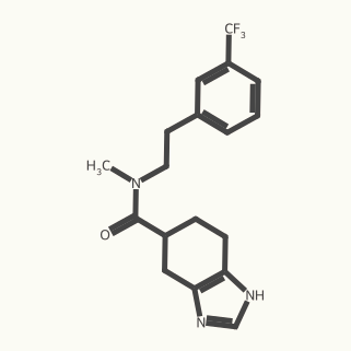 CN(CCc1cccc(C(F)(F)F)c1)C(=O)C1CCc2[nH]cnc2C1